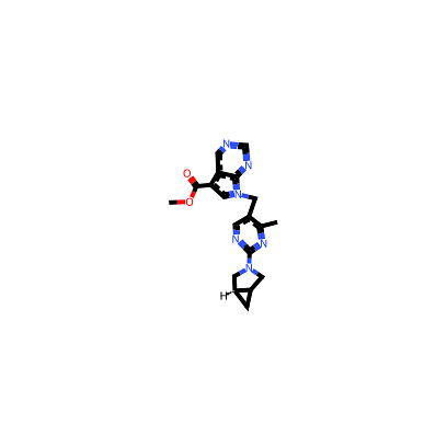 COC(=O)c1cn(Cc2cnc(N3CC4C[C@H]4C3)nc2C)c2ncncc12